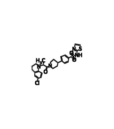 C[C@@H](C(=O)N1CCC(c2ccc(S(=O)(=O)Nc3nccs3)cc2)CC1)N1CCCc2cc(Cl)ccc21